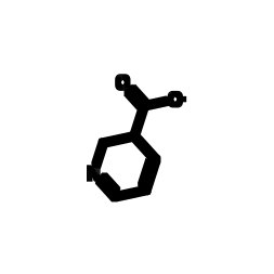 [O]C(=O)C1C=CC=NC1